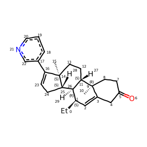 CC[C@@H]1C=C2CC(=O)CC[C@]2(C)[C@H]2CC[C@]3(C)C(c4cccnc4)=CC[C@H]3[C@H]12